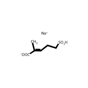 C/C(=C\CCS(=O)(=O)O)C(=O)[O-].[Na+]